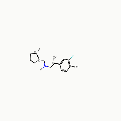 C[C@H]1CCC[C@H]1CN(C)C[C@H](C#N)c1ccc(C#N)c(F)c1